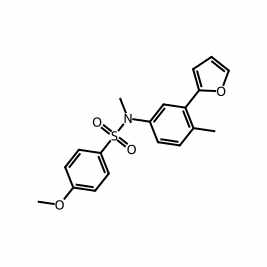 COc1ccc(S(=O)(=O)N(C)c2ccc(C)c(-c3ccco3)c2)cc1